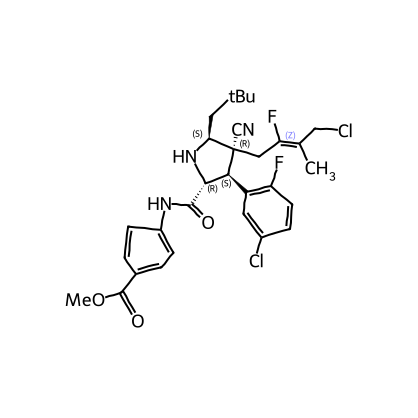 COC(=O)c1ccc(NC(=O)[C@@H]2N[C@@H](CC(C)(C)C)[C@@](C#N)(C/C(F)=C(\C)CCl)[C@H]2c2cc(Cl)ccc2F)cc1